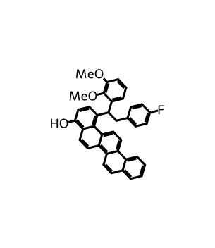 COc1cccc(C(Cc2ccc(F)cc2)c2ccc(O)c3ccc4c5ccc6ccccc6c5ccc4c23)c1OC